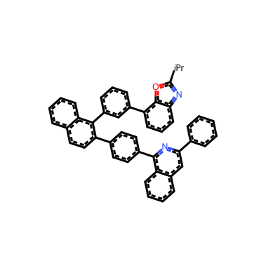 CC(C)c1nc2cccc(-c3cccc(-c4c(-c5ccc(-c6nc(-c7ccccc7)cc7ccccc67)cc5)ccc5ccccc45)c3)c2o1